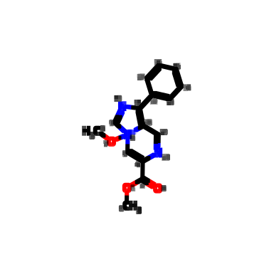 COC(=O)C1=C[N+]2(OC)C=NC(c3ccccc3)=C2C=N1